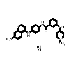 C[n+]1ccc(Nc2cccc(C(=O)Nc3ccc(Nc4ccnc5cc(N)ccc45)cc3)c2)cc1.Cl.[Cl-]